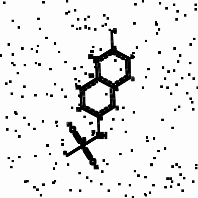 Cc1ccc2cc(NS(C)(=O)=O)ccc2n1